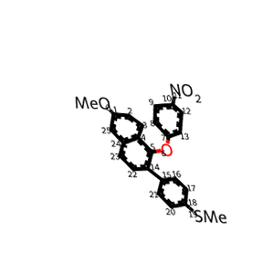 COc1ccc2c(Oc3ccc([N+](=O)[O-])cc3)c(-c3ccc(SC)cc3)ccc2c1